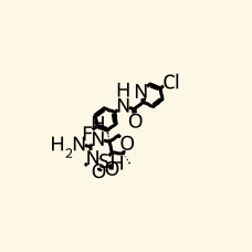 C[C@H]1OC[C@]2(c3cc(NC(=O)c4ccc(Cl)cn4)ccc3F)NC(N)N(C)S(=O)(=O)[C@H]12